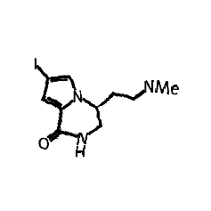 CNCC[C@H]1CNC(=O)c2cc(I)cn21